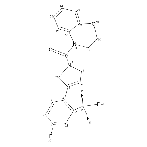 O=C(N1CC=C(c2ccc(F)cc2C(F)(F)F)C1)N1CCOc2ccccc21